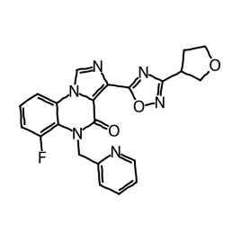 O=c1c2c(-c3nc(C4CCOC4)no3)ncn2c2cccc(F)c2n1Cc1ccccn1